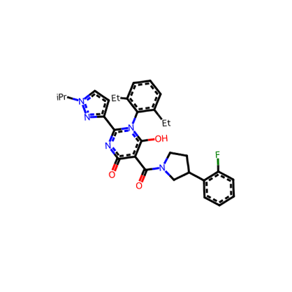 CCc1cccc(CC)c1-n1c(-c2ccn(C(C)C)n2)nc(=O)c(C(=O)N2CCC(c3ccccc3F)C2)c1O